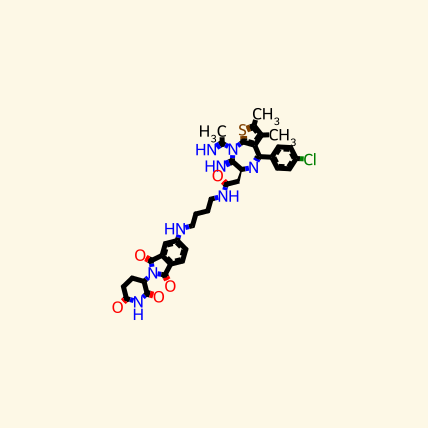 CC(=N)N1C(=N)[C@H](CC(=O)NCCCCNc2ccc3c(c2)C(=O)N(C2CCC(=O)NC2=O)C3=O)N=C(c2ccc(Cl)cc2)c2c1sc(C)c2C